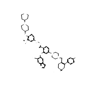 CC1(C)CCC(CN2CCN(c3ccc(C(=O)NS(=O)(=O)c4ccc(NC5CCN(C6CCOCC6)CC5)c([N+](=O)[O-])c4)c(Oc4cc5cc[nH]c5cc4F)c3)CC2)=C(c2ccc(Cl)cc2)C1